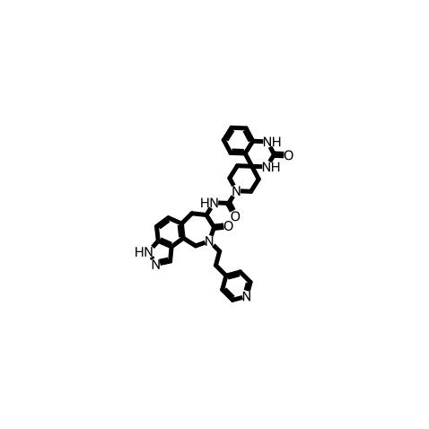 O=C1Nc2ccccc2C2(CCN(C(=O)NC3Cc4ccc5[nH]ncc5c4CN(CCc4ccncc4)C3=O)CC2)N1